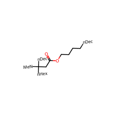 CCCCCCCCCCCCCCOC(=O)CC(CCCCCC)(CCCCCCCCCC)NC